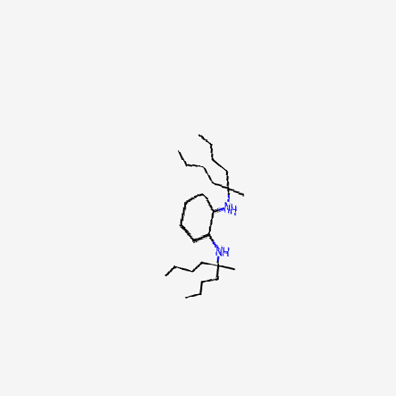 CCCCC(C)(CCCC)NC1CCCCC1NC(C)(CCCC)CCCC